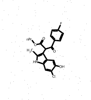 CCCOC(=O)C(C(=O)c1ccc(F)cc1)c1c(C)[nH]c2cc(Cl)c(O)cc12